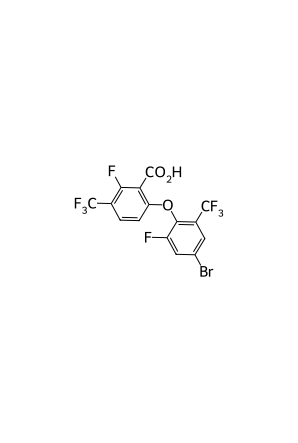 O=C(O)c1c(Oc2c(F)cc(Br)cc2C(F)(F)F)ccc(C(F)(F)F)c1F